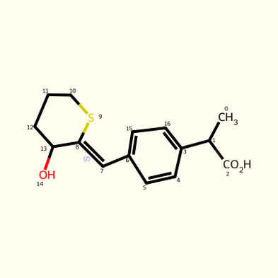 CC(C(=O)O)c1ccc(/C=C2\SCCCC2O)cc1